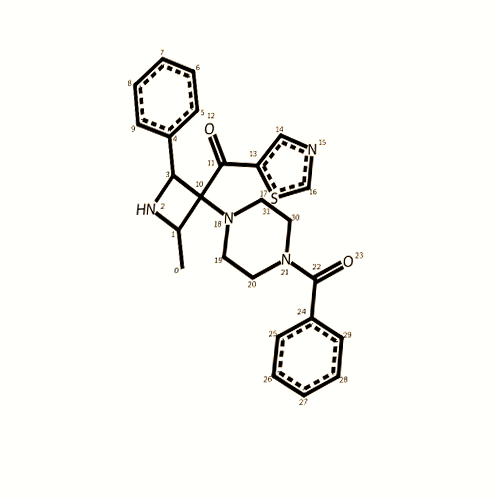 CC1NC(c2ccccc2)C1(C(=O)c1cncs1)N1CCN(C(=O)c2ccccc2)CC1